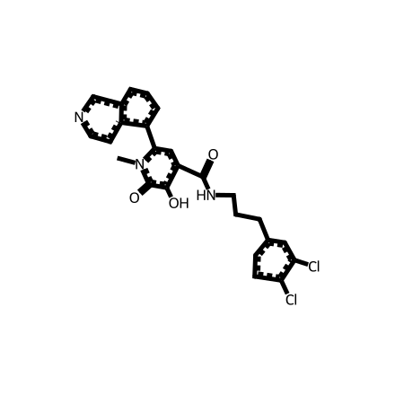 Cn1c(-c2cccc3cnccc23)cc(C(=O)NCCCc2ccc(Cl)c(Cl)c2)c(O)c1=O